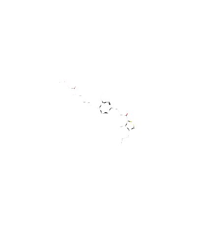 CCc1cc(CCC(=O)c2sc(C)c(CC(C)C)c2C)cc(C)c1OC[C@@H](O)CNC(=O)CO